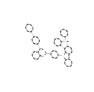 O=P1(c2ccccc2)c2ccccc2-c2c1ccc1c3ccccc3n(-c3ccc(-c4nc(-c5ccc(-c6ccccc6)cc5)c5ccccc5n4)cc3)c21